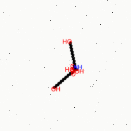 O=C(CCCCCCCCCCCCCCCO)NC(CO)(CO)COC(=O)CCCCCCCCCCCCCCCO